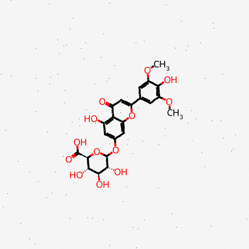 COc1cc(-c2cc(=O)c3c(O)cc(OC4O[C@H](C(=O)O)[C@@H](O)[C@H](O)[C@H]4O)cc3o2)cc(OC)c1O